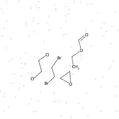 BrCCBr.C1CO1.CCOC=O.ClCCCl